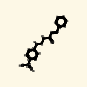 O=C(C=Cc1ccccc1)OCOc1ccc([N+](=O)[O-])cc1